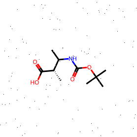 CC(NC(=O)OC(C)(C)C)[C@H](C)C(=O)O